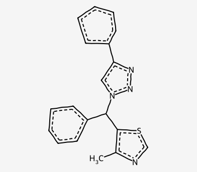 Cc1ncsc1C(c1ccccc1)n1cc(-c2ccccc2)nn1